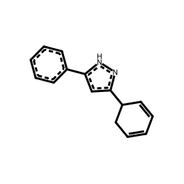 C1=CCC(c2cc(-c3ccccc3)[nH]n2)C=C1